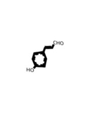 O=CC=Cc1ccc(O)cc1